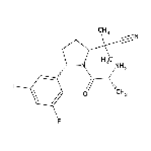 C[C@@H](N)C(=O)N1C(C(C)(C)C#N)CC[C@H]1c1cc(F)cc(F)c1